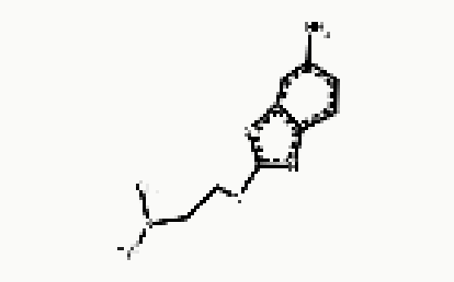 CN(C)CCNc1nc2ccc(N)cc2s1